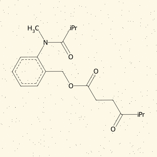 CC(C)C(=O)CCC(=O)OCc1ccccc1N(C)C(=O)C(C)C